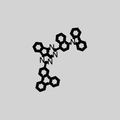 c1ccc2c(c1)-c1nc(-c3ccc4c5ccccc5c5ccccc5c4c3)nc3nc(-c4ccc(-n5c6ccccc6c6ccccc65)c5ccccc45)nc-2c13